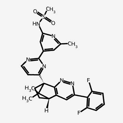 Cc1cc(-c2nccc([C@]34CC[C@@H](c5cc(-c6c(F)cccc6F)nnc53)C4(C)C)n2)cc(NS(C)(=O)=O)n1